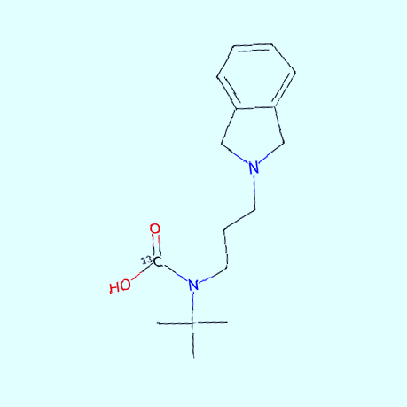 CC(C)(C)N(CCCN1Cc2ccccc2C1)[13C](=O)O